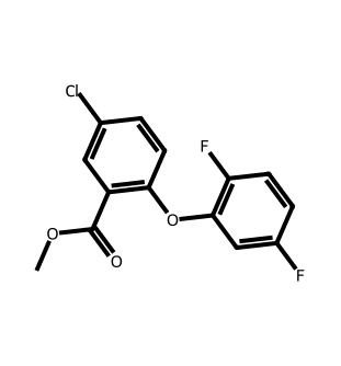 COC(=O)c1cc(Cl)ccc1Oc1cc(F)ccc1F